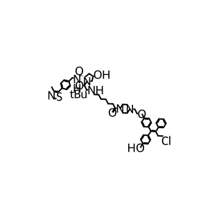 Cc1ncsc1-c1ccc(CNC(=O)[C@@H]2C[C@@H](O)CN2C(=O)[C@@H](NCCCCCCC(=O)N2CCN(CCOc3ccc(C(=C(CCCl)c4ccccc4)c4ccc(O)cc4)cc3)CC2)C(C)(C)C)cc1